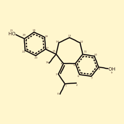 CC(C)C=C1c2ccc(O)cc2CCCC1(C)c1ccc(O)cc1